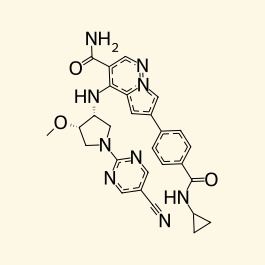 CO[C@H]1CN(c2ncc(C#N)cn2)C[C@H]1Nc1c(C(N)=O)cnn2cc(-c3ccc(C(=O)NC4CC4)cc3)cc12